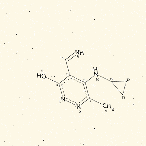 Cc1nnc(O)c(C=N)c1NC1CC1